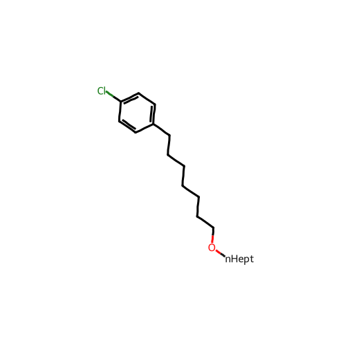 [CH2]CCCCCCOCCCCCCCc1ccc(Cl)cc1